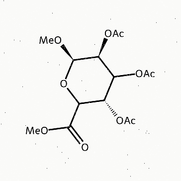 COC(=O)C1O[C@@H](OC)[C@@H](OC(C)=O)C(OC(C)=O)[C@@H]1OC(C)=O